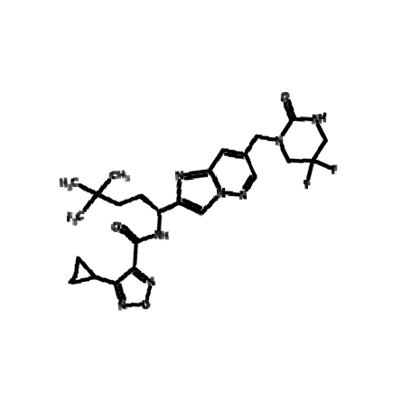 CC(C)(CC[C@H](NC(=O)c1nonc1C1CC1)c1cn2ncc(CN3CC(F)(F)CNC3=O)cc2n1)C(F)(F)F